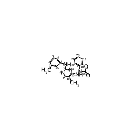 Cc1cccc(Nc2ncc(C)c(Nn3c(=O)oc4ccccc43)n2)c1